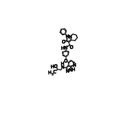 CC(O)CNc1n[nH]c2nccc(Oc3ccc(NC(=O)c4c5n(n(-c6ccccc6)c4=O)CCCC5)cc3)c12